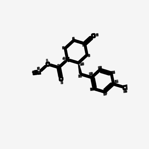 CC(C)(C)OC(=O)N1CCC(=O)C[C@@H]1Cc1ccc(Cl)cc1